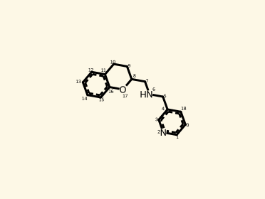 c1cncc(CNCC2CCc3ccccc3O2)c1